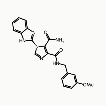 COc1cccc(CNC(=O)c2ncn(-c3nc4ccccc4[nH]3)c2C(N)=O)c1